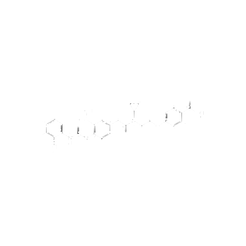 COc1cc(CC(=O)N(CCOc2ccc(C(=O)O)cc2)C2CC2)ccc1NC(=O)Nc1ccccc1Cl